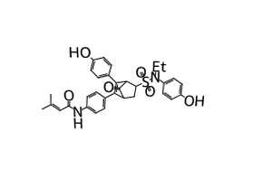 CCN(c1ccc(O)cc1)S(=O)(=O)C1CC2C(=O)C1C(c1ccc(O)cc1)=C2c1ccc(NC(=O)C=C(C)C)cc1